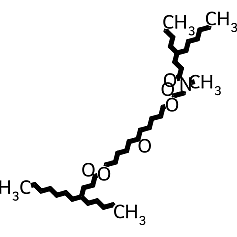 CCCCCCCC(CCCCC)CCC(=O)OCCCCCC(=O)CCCCCOC(=O)CN(C)C(=O)CCC(CCCC)CCCCCC